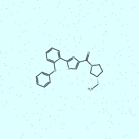 NC[C@H]1CCN(C(=O)c2csc(-c3ccccc3Oc3ccccc3)n2)C1